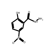 NNC(=O)c1cc([N+](=O)[O-])ccc1O